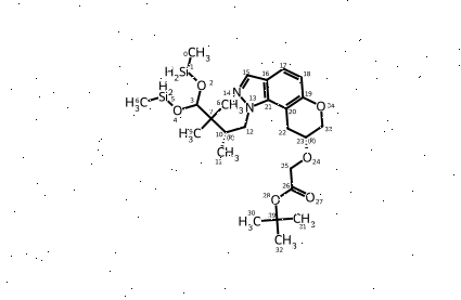 C[SiH2]OC(O[SiH2]C)C(C)(C)[C@@H](C)Cn1ncc2ccc3c(c21)C[C@@H](OCC(=O)OC(C)(C)C)CO3